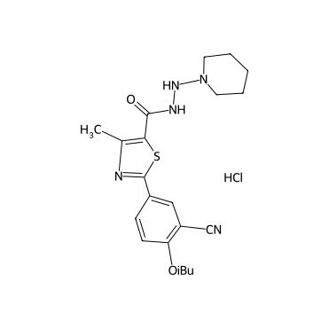 Cc1nc(-c2ccc(OCC(C)C)c(C#N)c2)sc1C(=O)NNN1CCCCC1.Cl